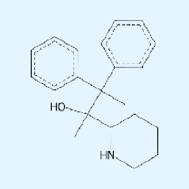 CC(c1ccccc1)(c1ccccc1)C(C)(O)C1CCCCN1